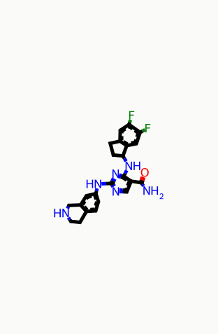 NC(=O)c1cnc(Nc2ccc3c(c2)CNCC3)nc1NC1CCc2cc(F)c(F)cc21